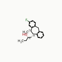 CC[C@H](O)C[C@H]1c2ccccc2Cc2ccc(F)cc2[C@H]1C